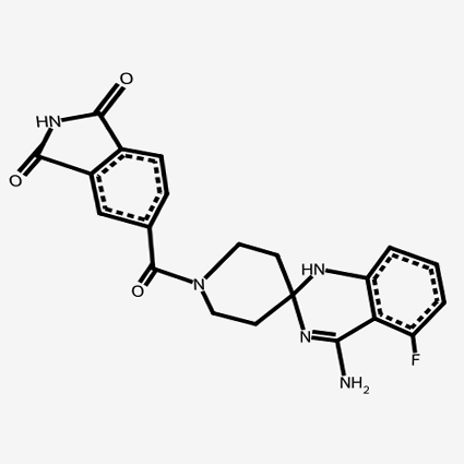 NC1=NC2(CCN(C(=O)c3ccc4c(c3)C(=O)NC4=O)CC2)Nc2cccc(F)c21